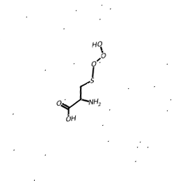 NC(CSOOO)C(=O)O